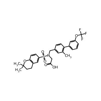 Cc1cc(CN(CC(=O)O)S(=O)(=O)c2ccc3c(c2)CCC(C)(C)O3)ccc1-c1cccc(OC(F)(F)F)c1